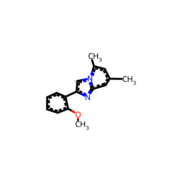 COc1ccccc1-c1[c]n2c(C)cc(C)cc2n1